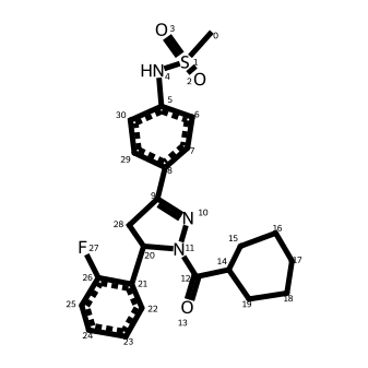 CS(=O)(=O)Nc1ccc(C2=NN(C(=O)C3CCCCC3)C(c3ccccc3F)C2)cc1